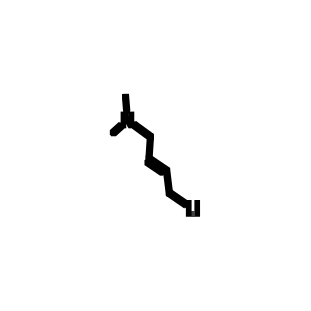 [Li][CH2]C=CCN(C)C